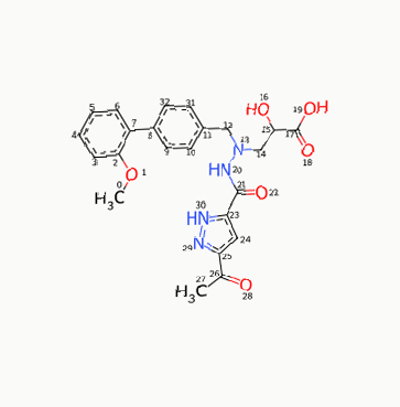 COc1ccccc1-c1ccc(CN(CC(O)C(=O)O)NC(=O)c2cc(C(C)=O)n[nH]2)cc1